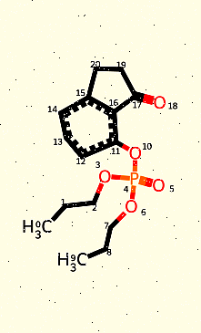 CCCOP(=O)(OCCC)Oc1cccc2c1C(=O)CC2